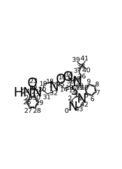 CN1CCN(c2ccccc2[C@@H]2SC(CC(=O)N3CCC(n4c(=O)[nH]c5ccccc54)CC3)C(=O)N2CCC(C)(C)C)CC1